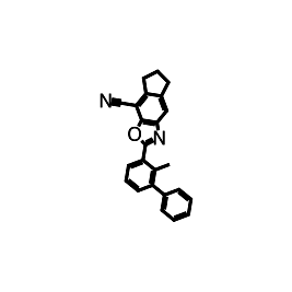 Cc1c(-c2ccccc2)cccc1-c1nc2cc3c(c(C#N)c2o1)CCC3